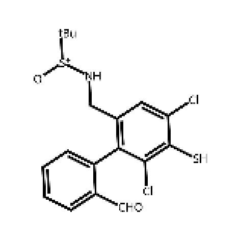 CC(C)(C)[S+]([O-])NCc1cc(Cl)c(S)c(Cl)c1-c1ccccc1C=O